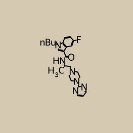 CCCCn1cc(C(=O)NC(C)CN2CCN(c3ncccn3)CC2)c2cc(F)ccc21